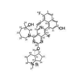 C#Cc1c(F)ccc2cc(O)cc(-c3ncc4c(N5CCCCC(C)(O)C5)nc(OC[C@]56CCC[C@H]5N(C)CCC6)nc4c3F)c12